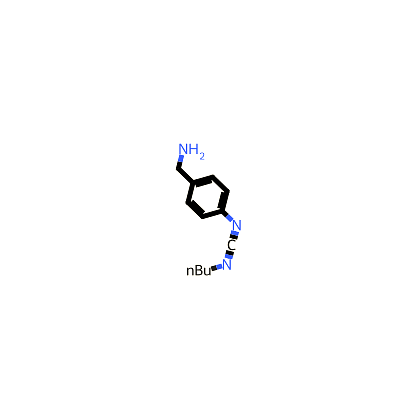 CCCCN=C=Nc1ccc(CN)cc1